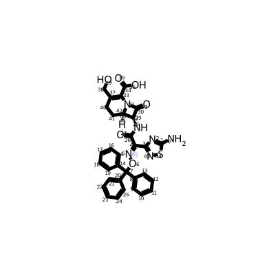 Nc1nc(/C(=N\OC(c2ccccc2)(c2ccccc2)c2ccccc2)C(=O)N[C@@H]2C(=O)N3C(C(=O)O)=C(CO)CC[C@H]23)ns1